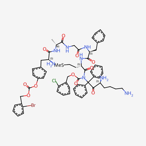 CSCC[C@H](NC(=O)[C@H](Cc1ccccc1)NC(=O)CNC(=O)[C@@H](C)NC(=O)[C@@H](N)Cc1ccc(OC(=O)OCc2ccccc2Br)cc1)C(=O)N(C(=O)OCc1ccccc1Cl)C(C(=O)[C@@H](N)CCCCN)(c1ccccc1)c1ccccc1